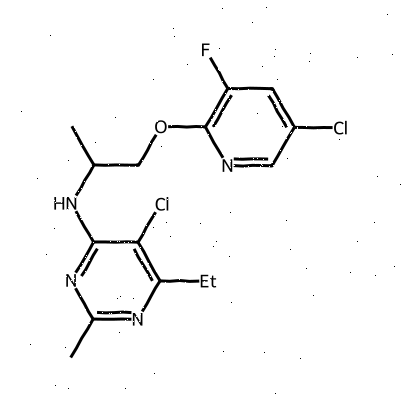 CCc1nc(C)nc(NC(C)COc2ncc(Cl)cc2F)c1Cl